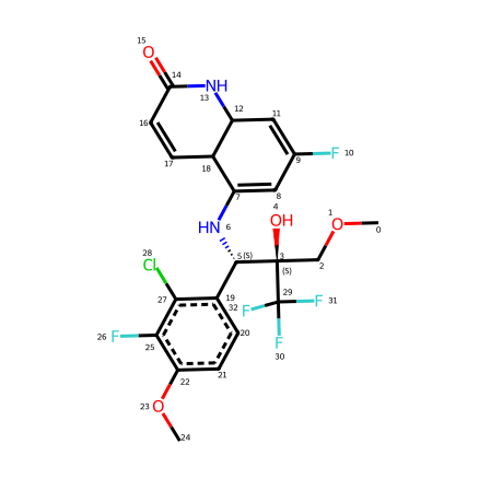 COC[C@@](O)([C@@H](NC1=CC(F)=CC2NC(=O)C=CC12)c1ccc(OC)c(F)c1Cl)C(F)(F)F